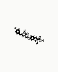 CCOC(Cc1ccc(OCCN(CCCc2ccc(F)cc2)C(=O)OC)cc1)C(=O)O